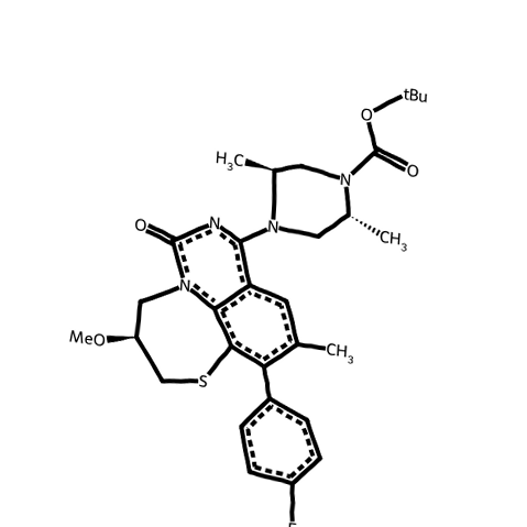 CO[C@@H]1CSc2c(-c3ccc(F)cc3)c(C)cc3c(N4C[C@@H](C)N(C(=O)OC(C)(C)C)C[C@@H]4C)nc(=O)n(c23)C1